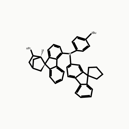 CCCC1CC2C[C@@H]1[C@@]1(C2)c2ccccc2-c2c(N(c3ccc(C(C)(C)C)cc3)c3ccc4c(c3)C3(CCCC3)c3ccccc3-4)cccc21